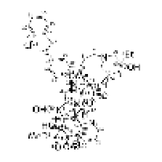 CC[C@]1(O)C[C@H]2CN(CCc3c([nH]c4ccc(SCc5ccccc5Cl)cc34)[C@@](C(=O)OC)(c3cc4c(cc3OC)N(C=O)[C@H]3[C@@](O)(C(=O)OC)[C@H](OC(C)=O)[C@]5(CC)C=CCN6CC[C@]43[C@@H]65)C2)C1